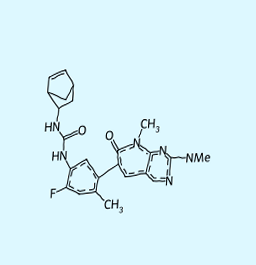 CNc1ncc2cc(-c3cc(NC(=O)NC4CC5C=CC4C5)c(F)cc3C)c(=O)n(C)c2n1